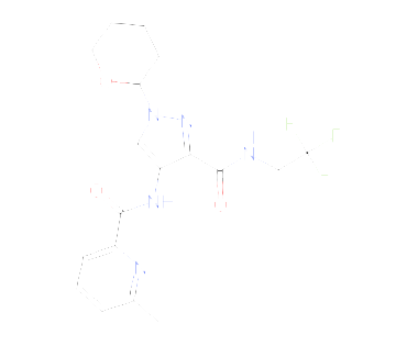 Cc1cccc(C(=O)Nc2cn(C3CCCCO3)nc2C(=O)NCC(F)(F)F)n1